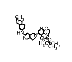 Cc1c(N2CCc3cnc(Nc4ccc5c(c4)CN(C)C5)cc3C2)cnc2c1N(C(=O)OC(C)(C)C)CCO2